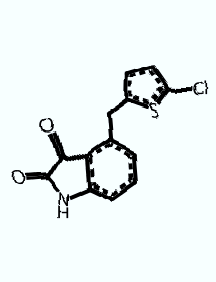 O=C1Nc2cccc(Cc3ccc(Cl)s3)c2C1=O